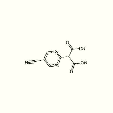 N#Cc1ccc(C(C(=O)O)C(=O)O)nc1